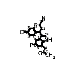 C[S+]([O-])Cc1cc(F)cc2c(C(CCC#N)c3ccc(Cl)cc3F)c[nH]c12